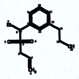 C=CCS(=O)(=O)N(CC)c1cccc(CCO)c1